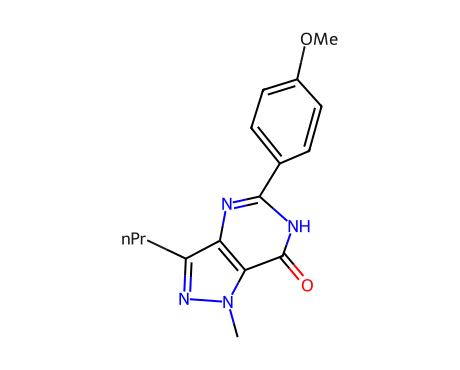 CCCc1nn(C)c2c(=O)[nH]c(-c3ccc(OC)cc3)nc12